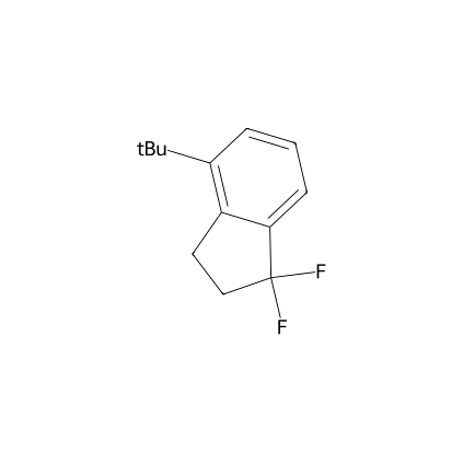 CC(C)(C)c1cccc2c1CCC2(F)F